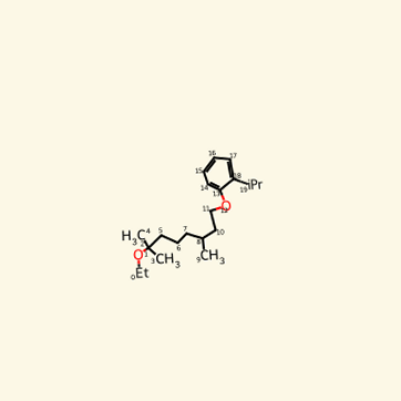 CCOC(C)(C)CCCC(C)CCOc1ccccc1C(C)C